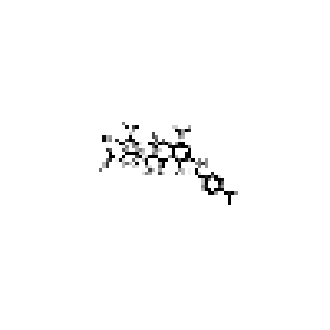 CC(C)c1ccc(CNc2cc(N(C)C)c3c(c2O)C(=O)C2=C(O)[C@](O)(C(=O)CC(N)=O)[C@H]([C@@H](CO)N(C)C)C[C@@H]2C3)cc1